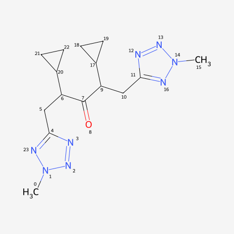 Cn1nnc(CC(C(=O)C(Cc2nnn(C)n2)C2CC2)C2CC2)n1